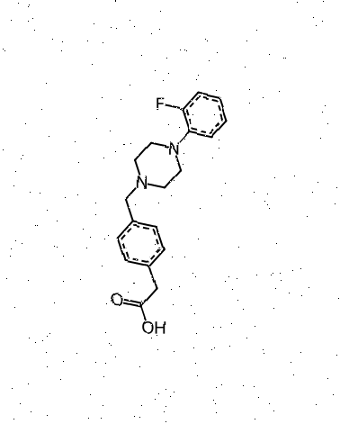 O=C(O)Cc1ccc(CN2CCN(c3ccccc3F)CC2)cc1